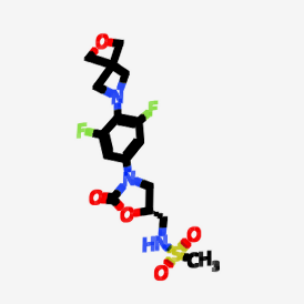 CS(=O)(=O)NC[C@H]1CN(c2cc(F)c(N3CC4(COC4)C3)c(F)c2)C(=O)O1